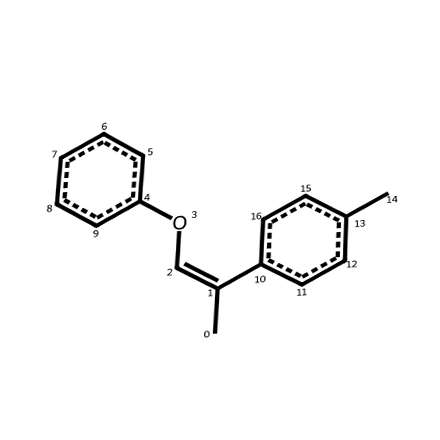 CC(=COc1ccccc1)c1ccc(C)cc1